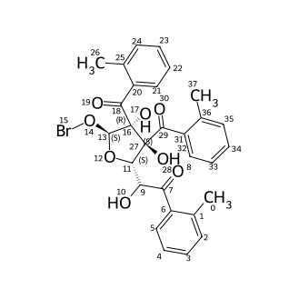 Cc1ccccc1C(=O)C(O)[C@@H]1O[C@@H](OBr)[C@@](O)(C(=O)c2ccccc2C)[C@]1(O)C(=O)c1ccccc1C